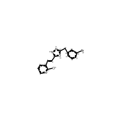 Clc1ncccc1/C=C/c1nnc(Cc2cccc(Br)c2)o1